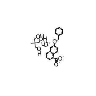 CC(CO)(CO)CO.[Li+].[Li+].[O-]B([O-])c1cccc2cc(OCc3ccccc3)ccc12